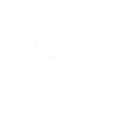 Cc1c(-c2cccc(C(F)(F)F)c2)c(=O)c(C(=O)NCc2ccc(S(C)(=O)=O)cn2)cn1C